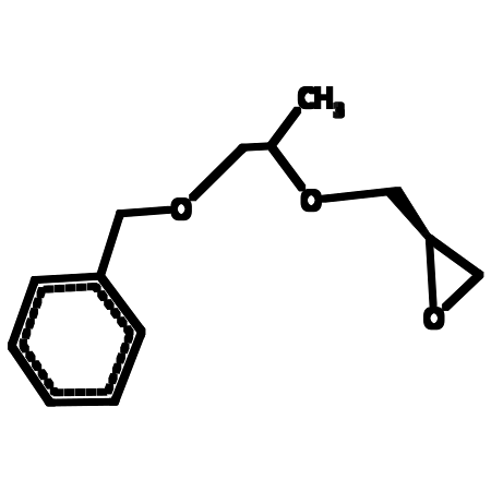 CC(COCc1ccccc1)OC[C@H]1CO1